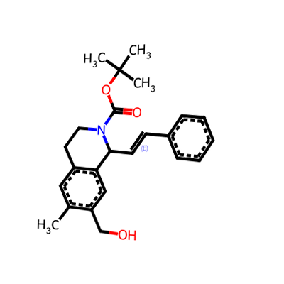 Cc1cc2c(cc1CO)C(/C=C/c1ccccc1)N(C(=O)OC(C)(C)C)CC2